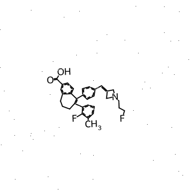 Cc1cccc(C2=C(c3ccc(C=C4CN(CCCF)C4)cc3)c3ccc(C(=O)O)cc3CCC2)c1F